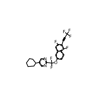 Fc1cc2cc(OC(F)(F)c3ncc(C4CCCCC4)cn3)ccc2c(F)c1C#CC(F)(F)F